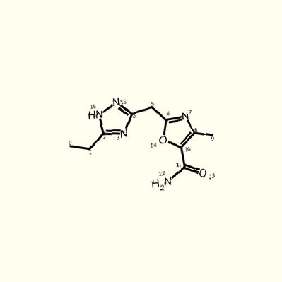 CCc1nc(Cc2nc(C)c(C(N)=O)o2)n[nH]1